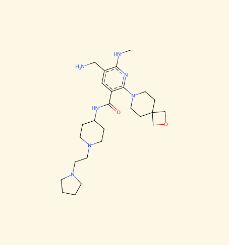 CNc1nc(N2CCC3(CC2)COC3)c(C(=O)NC2CCN(CCN3CCCC3)CC2)cc1CN